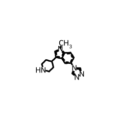 Cn1cc(C2CCNCC2)c2cc(-n3cnnc3)ccc21